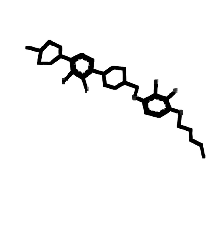 CCCCCOc1ccc(OCC2CCC(c3ccc(C4CCC(C)CC4)c(F)c3F)CC2)c(F)c1F